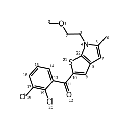 COCCn1c(C)cc2cc(C(=O)c3cccc(Cl)c3Cl)sc21